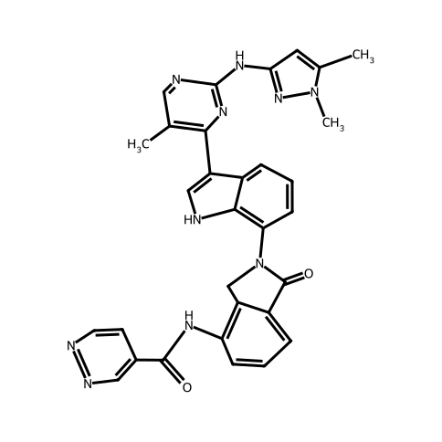 Cc1cnc(Nc2cc(C)n(C)n2)nc1-c1c[nH]c2c(N3Cc4c(NC(=O)c5ccnnc5)cccc4C3=O)cccc12